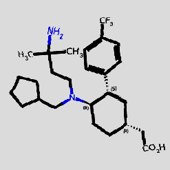 CC(C)(N)CCN(CC1CCCC1)[C@@H]1CC[C@@H](CC(=O)O)C[C@H]1c1ccc(C(F)(F)F)cc1